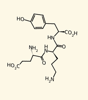 NCCC[C@@H](NC(=O)[C@@H](N)CCC(=O)O)C(=O)N[C@@H](Cc1ccc(O)cc1)C(=O)O